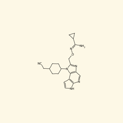 N#CCC1CCC(n2c(CO/N=C(\N)C3CC3)nc3cnc4[nH]ccc4c32)CC1